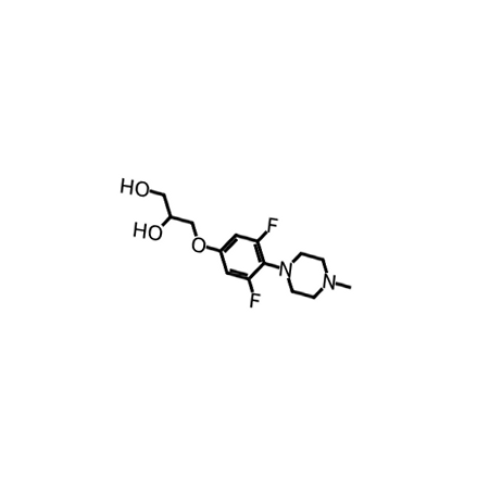 CN1CCN(c2c(F)cc(OCC(O)CO)cc2F)CC1